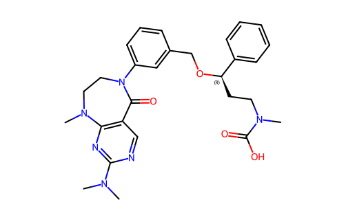 CN(CC[C@@H](OCc1cccc(N2CCN(C)c3nc(N(C)C)ncc3C2=O)c1)c1ccccc1)C(=O)O